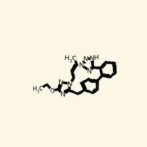 CC=CCn1nc(OCC)nc1Cc1ccc(-c2ccccc2-c2nnn[nH]2)cc1